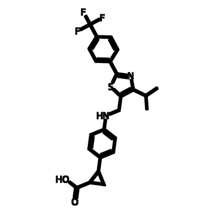 CC(C)c1nc(-c2ccc(C(F)(F)F)cc2)sc1CNc1ccc(C2CC2C(=O)O)cc1